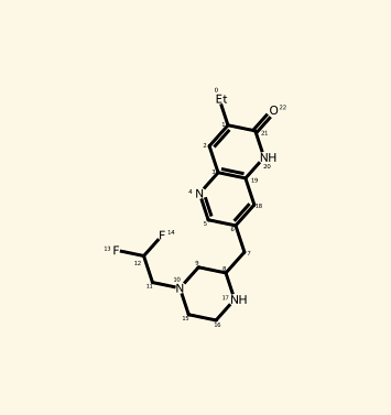 CCc1cc2ncc(CC3CN(CC(F)F)CCN3)cc2[nH]c1=O